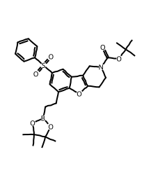 CC(C)(C)OC(=O)N1CCc2oc3c(CCB4OC(C)(C)C(C)(C)O4)cc(S(=O)(=O)c4ccccc4)cc3c2C1